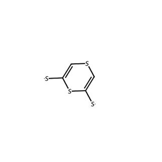 [S]C1=CSC=C([S])S1